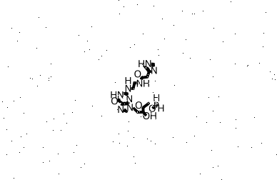 [3H]POCC1OC(n2cnc3c(=O)[nH]c(NCCNC(=O)Cc4c[nH]cn4)nc32)CC1O